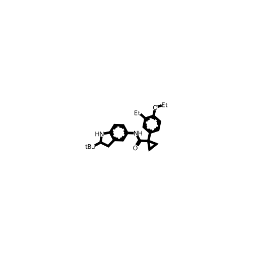 CCOc1ccc(C2(C(=O)Nc3ccc4c(c3)CC(C(C)(C)C)N4)CC2)cc1CC